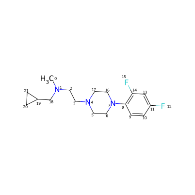 CN(CCN1CCN(c2ccc(F)cc2F)CC1)CC1CC1